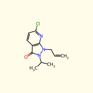 C=CCn1c2nc(Cl)ccc2c(=O)n1C(C)C